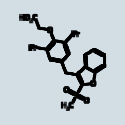 CC(C)c1cc(Cc2c(S(C)(=O)=O)oc3ccccc23)cc(C(C)C)c1OCC(=O)O